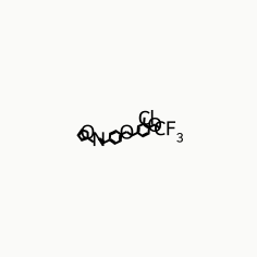 FC(F)(F)Oc1ccc(COc2ccc(C=NCc3ccco3)cc2)cc1Cl